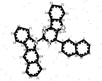 c1ccc2cc(-c3nc(-n4c5ccccc5c5cc6ccccc6cc54)nc4c3oc3ccccc34)ccc2c1